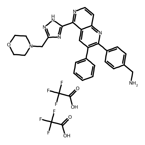 NCc1ccc(-c2nc3ccnc(-c4nc(CN5CCOCC5)n[nH]4)c3cc2-c2ccccc2)cc1.O=C(O)C(F)(F)F.O=C(O)C(F)(F)F